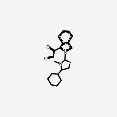 CN1C(C2CCCCC2)CSC1n1cc2ccccc2c1C(=O)C=O